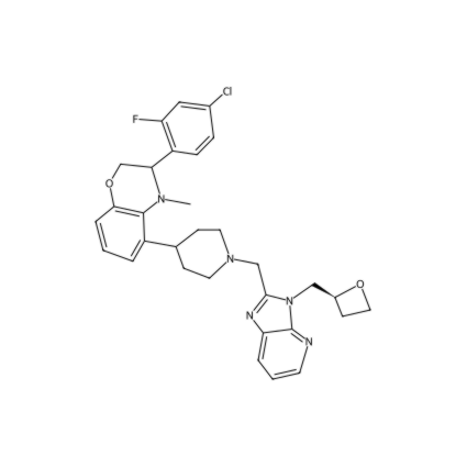 CN1c2c(cccc2C2CCN(Cc3nc4cccnc4n3C[C@@H]3CCO3)CC2)OCC1c1ccc(Cl)cc1F